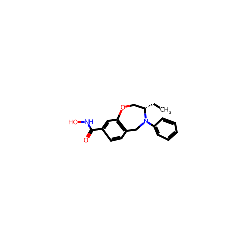 CC[C@H]1COc2cc(C(=O)NO)ccc2CN1c1ccccc1